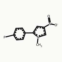 Cn1cc([N+](=O)[O-])cc1-c1ccc(F)cc1